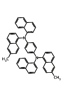 Cc1ccc2c(N(c3ccc(N(c4cccc5ccccc45)c4cccc5cc(C)ccc45)cc3)c3cccc4ccccc34)cccc2c1